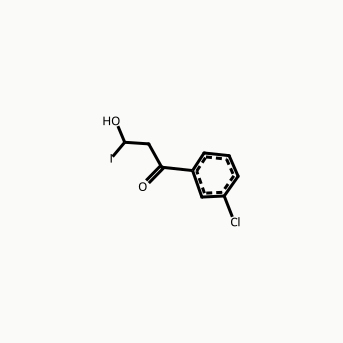 O=C(CC(O)I)c1cccc(Cl)c1